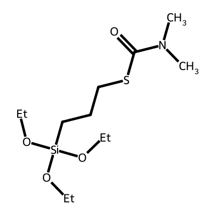 CCO[Si](CCCSC(=O)N(C)C)(OCC)OCC